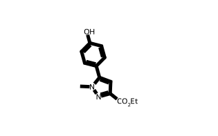 CCOC(=O)c1cc(-c2ccc(O)cc2)n(C)n1